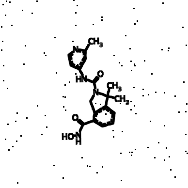 Cc1cc(NC(=O)N2Cc3c(C(=O)NO)cccc3C2(C)C)ccn1